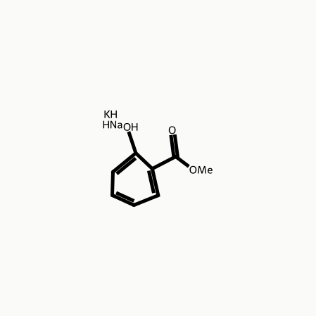 COC(=O)c1ccccc1O.[KH].[NaH]